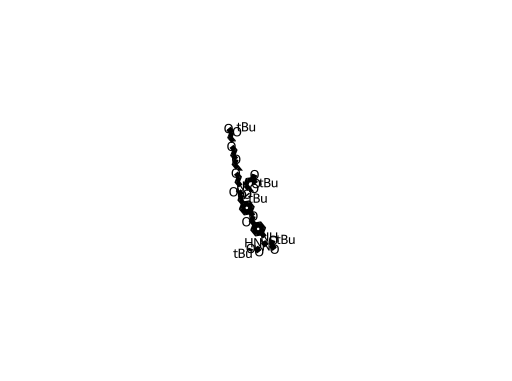 CC(C)(C)OC(=O)CCOCCOCCOCCN(C(=O)OCc1ccc(OC(=O)c2ccc(NC(=NC(=O)OC(C)(C)C)NC(=O)OC(C)(C)C)cc2)cc1)C(CC(=O)OC(C)(C)C)C(=O)OC(C)(C)C